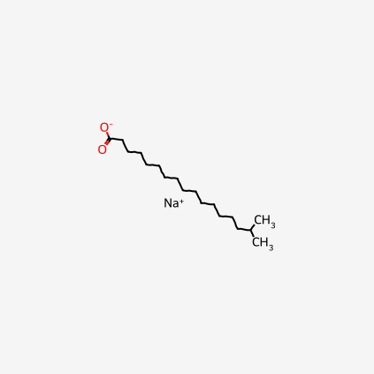 CC(C)CCCCCCCCCCCCCCC(=O)[O-].[Na+]